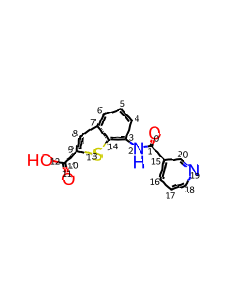 O=C(Nc1cccc2cc(C(=O)O)sc12)c1cccnc1